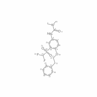 CN(C)C(=O)Nc1ccc(OCCc2ccccc2)c(S(=O)(=O)C(F)F)c1